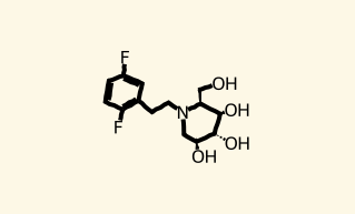 OC[C@H]1[C@@H](O)[C@H](O)[C@@H](O)CN1CCc1cc(F)ccc1F